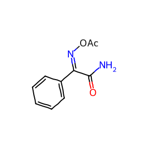 CC(=O)ON=C(C(N)=O)c1ccccc1